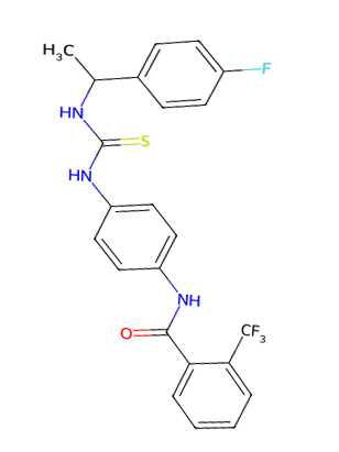 CC(NC(=S)Nc1ccc(NC(=O)c2ccccc2C(F)(F)F)cc1)c1ccc(F)cc1